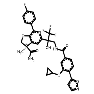 C[C@]1(C(N)=O)COc2c1cc(C(O)(CNC(=O)c1ccc(-c3ccno3)c(OC3CC3)c1)C(F)(F)F)nc2-c1ccc(F)cc1